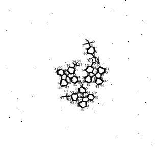 CC(C)(C)c1ccc(-c2nnc(-c3cccc(C4(c5ccc(N(c6ccc(C7(c8ccc(C(C)(C)C)cc8)c8ccccc8-c8ccccc87)cc6)c6ccc(C7(c8ccc(C(C)(C)C)cc8)c8ccccc8-c8ccccc87)cc6)cc5)c5ccccc5-c5ccccc54)c3)o2)cc1